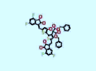 O=C1C(=O)c2c(F)cc(F)cc2/C1=C/c1cc2c(s1)-c1sc(/C=C3\C(=O)C(=O)c4c(F)cc(F)cc43)cc1C(C(=O)OCc1ccccc1)(C(=O)OCc1ccccc1)O2